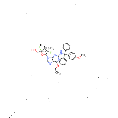 CCOc1nc(NC(c2ccccc2)(c2ccccc2)c2ccc(OC)cc2)nc2c1ncn2C1O[C@](F)(CO)[C@@H](C)[C@@]1(C)F